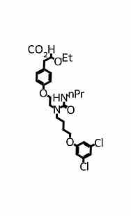 CCCNC(=O)N(CCCCOc1cc(Cl)cc(Cl)c1)CCOc1ccc(CC(OCC)C(=O)O)cc1